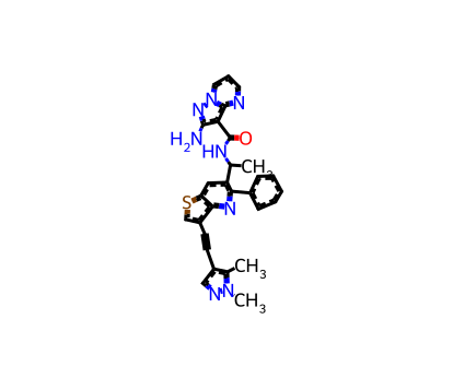 Cc1c(C#Cc2csc3cc(C(C)NC(=O)c4c(N)nn5cccnc45)c(-c4ccccc4)nc23)cnn1C